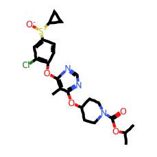 Cc1c(Oc2ccc([S+]([O-])C3CC3)cc2Cl)ncnc1OC1CCN(C(=O)OC(C)C)CC1